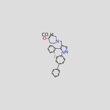 O=C(O)OC1CCN(Cc2cnn(-c3ccc(-c4ccccc4)cc3)c2-c2ccccc2F)CC1